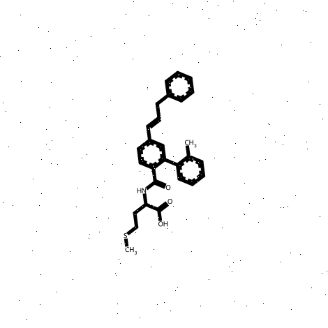 CSCCC(NC(=O)c1ccc(/C=C/Cc2ccccc2)cc1-c1ccccc1C)C(=O)O